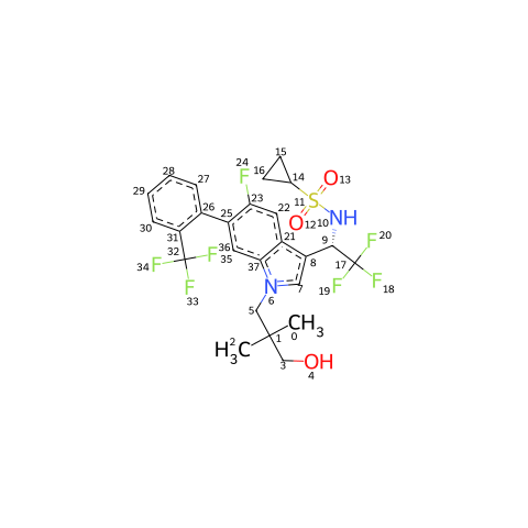 CC(C)(CO)Cn1cc([C@H](NS(=O)(=O)C2CC2)C(F)(F)F)c2cc(F)c(-c3ccccc3C(F)(F)F)cc21